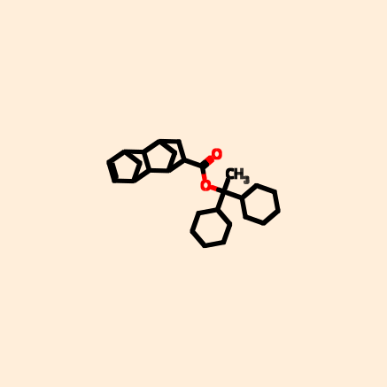 CC(OC(=O)C1CC2CC1C1C3C=CC(C3)C21)(C1CCCCC1)C1CCCCC1